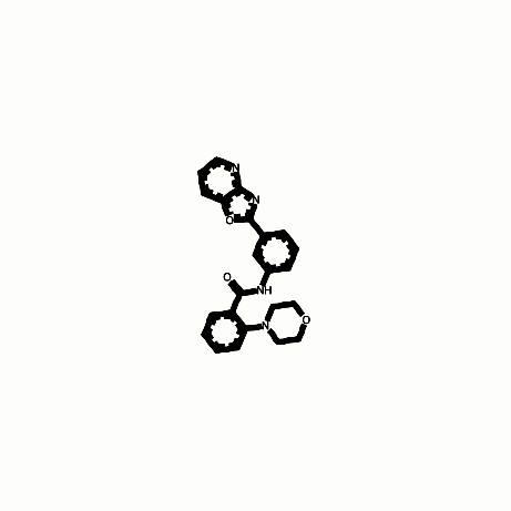 O=C(Nc1cccc(-c2nc3ncccc3o2)c1)c1ccccc1N1CCOCC1